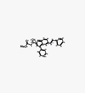 COC(=O)CN(C)c1cc(-c2ccncc2)c2cc(/C=C/c3ccccn3)ccc2n1